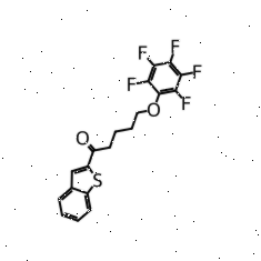 O=C(CCCCOc1c(F)c(F)c(F)c(F)c1F)c1cc2ccccc2s1